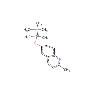 Cc1ccc2cc(O[Si](C)(C)C(C)(C)C)ccc2n1